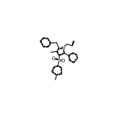 C=CCn1c(Cc2ccccc2)c(C)c(S(=O)(=O)c2ccc(C)cc2)c1-c1ccccc1